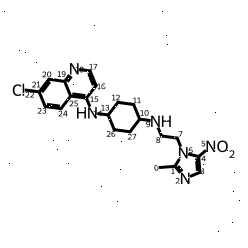 Cc1ncc([N+](=O)[O-])n1CCNC1CCC(Nc2ccnc3cc(Cl)ccc23)CC1